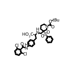 CC(C)(C)OC(=O)N1CCCC(CN[C@@H](Cc2ccc(NC(=O)c3c(Cl)cccc3Cl)cc2)C(=O)O)(S(=O)(=O)c2ccccc2)C1